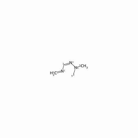 C=N/C=N\N(C)I